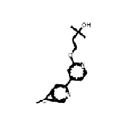 C[C@@H]1c2cnc(-c3ccnc(OCCC(C)(C)O)c3)cc21